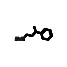 CNCCC(C)C1=CC=CCC1